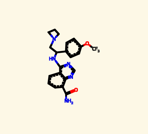 NC(=O)c1cccc2c(NC(CN3CCC3)c3ccc(OC(F)(F)F)cc3)ncnc12